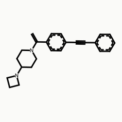 C=C(c1ccc(C#Cc2ccccc2)cc1)N1CCC(N2CCC2)CC1